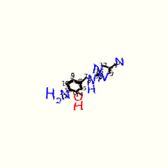 N#Cc1cnc(NCc2ccc(N)c(O)c2)nc1